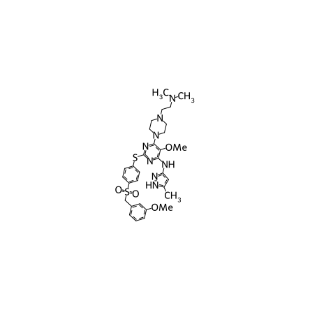 COc1cccc(CS(=O)(=O)c2ccc(Sc3nc(Nc4cc(C)[nH]n4)c(OC)c(N4CCN(CCN(C)C)CC4)n3)cc2)c1